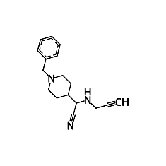 C#CCNC(C#N)C1CCN(Cc2ccccc2)CC1